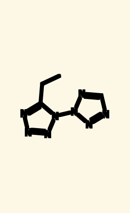 CCc1nnnn1-n1ncnn1